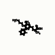 CCCCOc1c(N)cc(CCC(C)C(=O)O)cc1-c1ccccc1